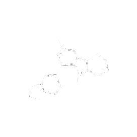 O=C(O)c1cc2c([nH]c3ccccc32)c(-c2ccc3c(c2)OCO3)n1